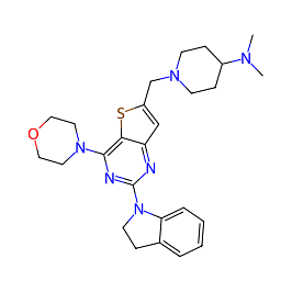 CN(C)C1CCN(Cc2cc3nc(N4CCc5ccccc54)nc(N4CCOCC4)c3s2)CC1